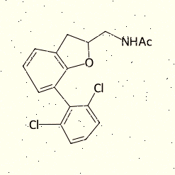 CC(=O)NCC1Cc2cccc(-c3c(Cl)cccc3Cl)c2O1